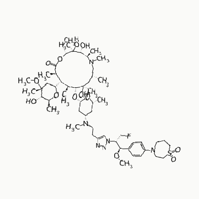 CC[C@H]1OC(=O)[C@H](C)[C@@H](C2C[C@@](C)(OC)[C@@H](O)[C@H](C)O2)[C@H](C)[C@@H](O[C@H]2C[C@@H](N(C)CCc3cn([C@H](CF)[C@H](OC)c4ccc(N5CCCS(=O)(=O)CC5)cc4)nn3)C[C@@H](C)O2)[C@](C)(O)C[C@@H](C)CN(C)[C@H](C)[C@@H](O)[C@]1(C)O